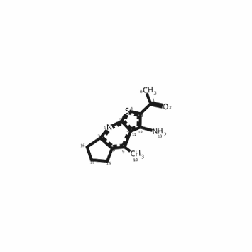 CC(=O)c1sc2nc3c(c(C)c2c1N)CCC3